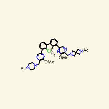 COc1nc(-c2cccc(-c3cccc(-c4cnc(CN5CCN(C(C)=O)CC5)c(OC)n4)c3Cl)c2C)cnc1CN1CC2(C1)CN(C(C)=O)C2